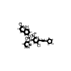 COc1nc(C#CC2CCCC2)c(Cl)cc1N(c1cccnn1)S(=O)(=O)c1ccc2[nH]c(=O)ccc2c1